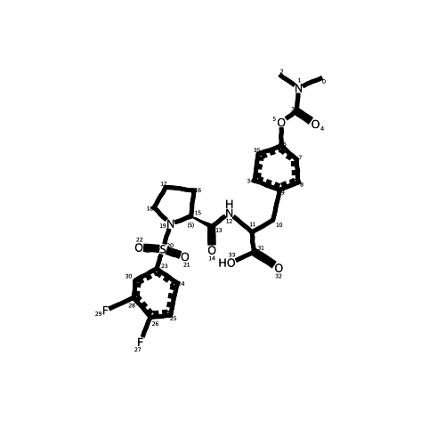 CN(C)C(=O)Oc1ccc(CC(NC(=O)[C@@H]2CCCN2S(=O)(=O)c2ccc(F)c(F)c2)C(=O)O)cc1